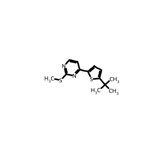 CSc1nccc(-c2ccc(C(C)(C)C)s2)n1